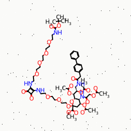 COC(=O)[C@@]1(OCCOCCOCCNc2c(NCCOCCOCCOCCOCCNC(=O)OC(C)(C)C)c(=O)c2=O)C[C@H](OC(C)=O)[C@@H](NC(=O)COC(C)=O)[C@H]([C@H](OC(C)=O)[C@@H](CNC(=O)Cc2ccc(-c3ccccc3)cc2)OC(C)=O)O1